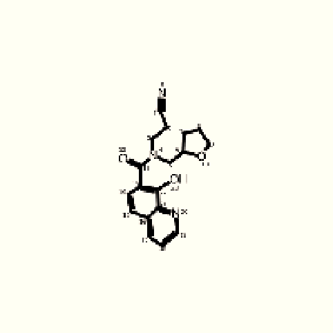 N#CCCN(CC1CCCO1)C(=O)c1ccc2cccnc2c1O